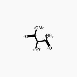 CCCC(C(N)=O)C(=O)OC